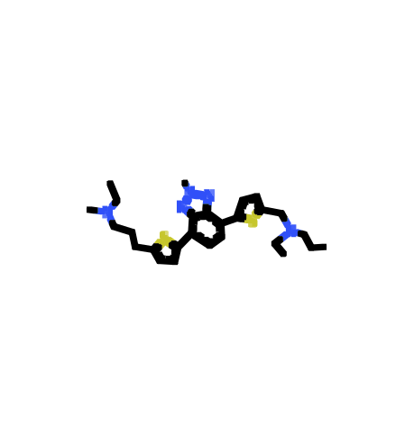 CCCN(CC)Cc1ccc(-c2ccc(-c3ccc(CCCN(C)CC)s3)c3nn(C)nc23)s1